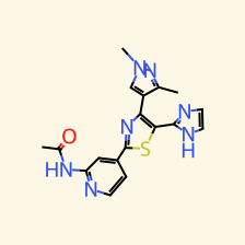 CC(=O)Nc1cc(-c2nc(-c3cn(C)nc3C)c(-c3ncc[nH]3)s2)ccn1